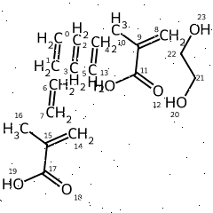 C=C.C=C.C=C.C=C.C=C(C)C(=O)O.C=C(C)C(=O)O.OCCO